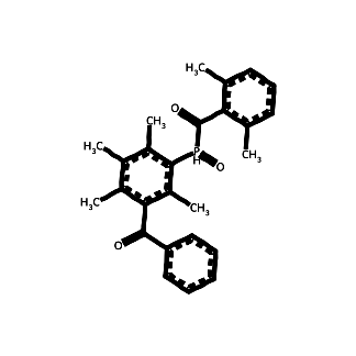 Cc1cccc(C)c1C(=O)[PH](=O)c1c(C)c(C)c(C)c(C(=O)c2ccccc2)c1C